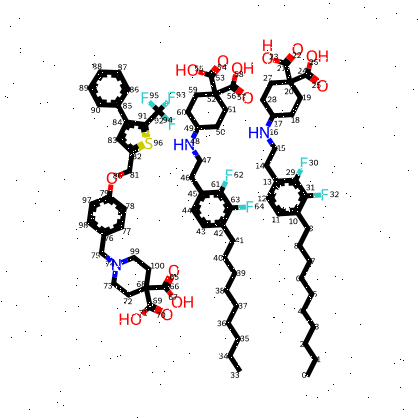 CCCCCCCCCCc1ccc(CCNC2CCC(C(=O)O)(C(=O)O)CC2)c(F)c1F.CCCCCCCCCc1ccc(CCNC2CCC(C(=O)O)(C(=O)O)CC2)c(F)c1F.O=C(O)C1(C(=O)O)CCN(Cc2ccc(OCc3cc(-c4ccccc4)c(C(F)(F)F)s3)cc2)CC1